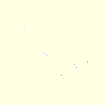 CCn1cc(C(=O)NCCCN)nn1